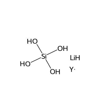 O[Si](O)(O)O.[LiH].[Y]